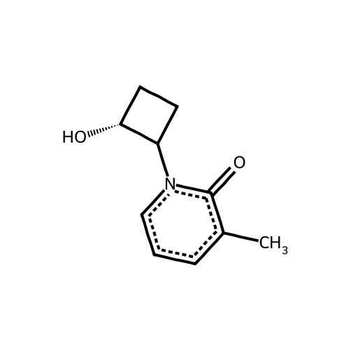 Cc1cccn(C2CC[C@H]2O)c1=O